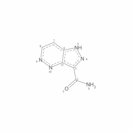 NC(=O)c1n[nH]c2ccnnc12